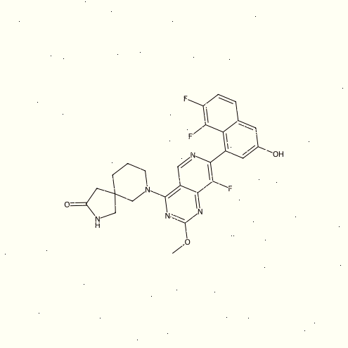 COc1nc(N2CCCC3(CNC(=O)C3)C2)c2cnc(-c3cc(O)cc4ccc(F)c(F)c34)c(F)c2n1